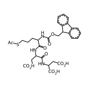 CC(=O)SCCCC(NC(=O)OCC1c2ccccc2-c2ccccc21)C(=O)NC(CC(=O)O)C(=O)NC(CC(=O)O)C(=O)O